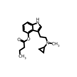 CCCC(=O)Oc1cccc2[nH]cc(CCN(C)C3CC3)c12